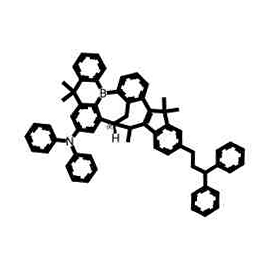 CC1C2=C(c3cccc4c3C[C@H]1c1cc(N(c3ccccc3)c3ccccc3)cc3c1B4c1ccccc1C3(C)C)C(C)(C)c1cc(CCC(c3ccccc3)c3ccccc3)ccc12